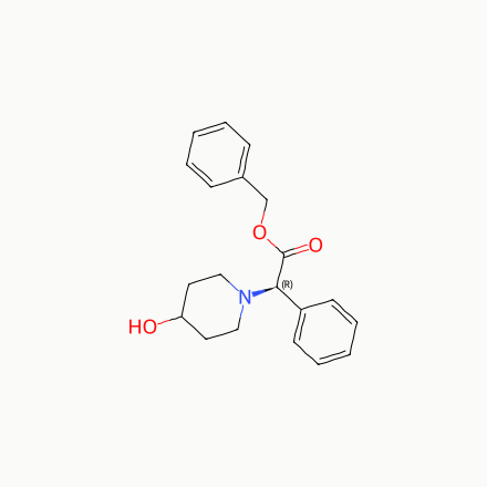 O=C(OCc1ccccc1)[C@@H](c1ccccc1)N1CCC(O)CC1